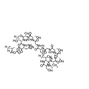 CC(C)C[C@H](NC(=O)[C@H](Cc1c[nH]cn1)NC(=O)[C@@H](NC(=O)[C@H](C)NC(=O)[C@H](CO)NC(=O)CNC(=O)[C@H](CO)NC(=O)CNC(=O)[C@H](CO)NC(=O)[C@H](CO)NC(=O)[C@H](C)NC(=O)[C@@H](NC(=O)[C@@H](N)CO)C(C)C)[C@@H](C)O)C(=O)O